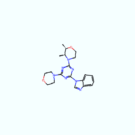 C[C@H]1OCCN(c2nc(N3CCOCC3)nc(-n3cnc4ccccc43)n2)[C@H]1C